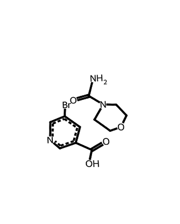 NC(=O)N1CCOCC1.O=C(O)c1cncc(Br)c1